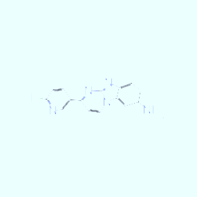 NC1C=c2c(nc3nc(-c4ccc(F)nc4)ccn23)=CC1